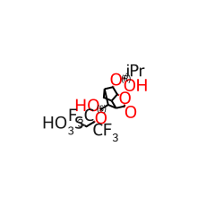 CC(C)[C@H](O)OC1C2CC3C1OC(=O)C3C2[C@@H](O)OC(CS(=O)(=O)O)(C(F)(F)F)C(F)(F)F